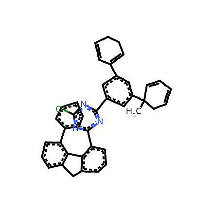 CC1(c2cc(C3=CCCC=C3)cc(-c3nc(Cl)nc(-c4cccc5c4-c4c(cccc4-c4ccccc4)C5)n3)c2)C=CC=CC1